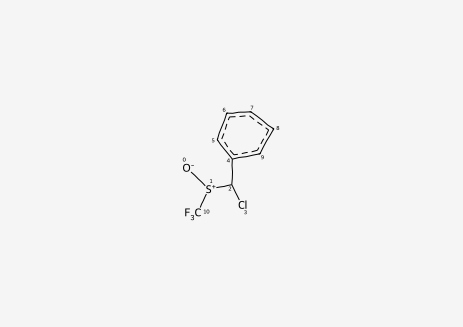 [O-][S+](C(Cl)c1ccccc1)C(F)(F)F